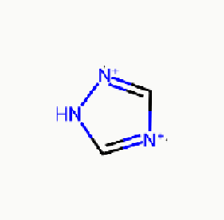 C1=[N+]C=[N+]N1